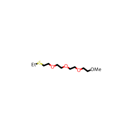 CCSCCOCCOCCOCCOC